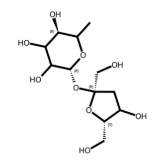 CC1O[C@H](O[C@@]2(CO)CC(O)[C@H](CO)O2)C(O)C(O)[C@H]1O